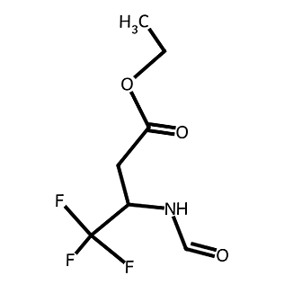 CCOC(=O)CC(NC=O)C(F)(F)F